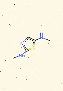 CNc1cnc(NC)s1